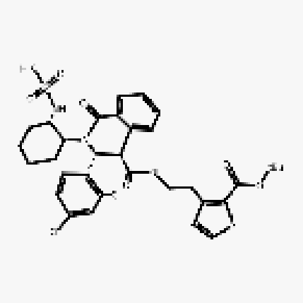 CC(C)(C)OC(=O)c1sccc1CCNC(=O)[C@@H]1c2ccccc2C(=O)N([C@H]2CCCC[C@@H]2NS(C)(=O)=O)[C@H]1c1ccc(Cl)cc1Cl